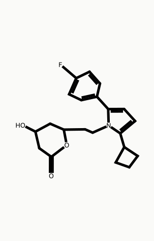 O=C1CC(O)CC(CCn2c(-c3ccc(F)cc3)ccc2C2CCC2)O1